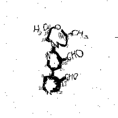 C[C@@H]1CN(c2ncc(-c3ccncc3C=O)cc2C=O)C[C@H](C)O1